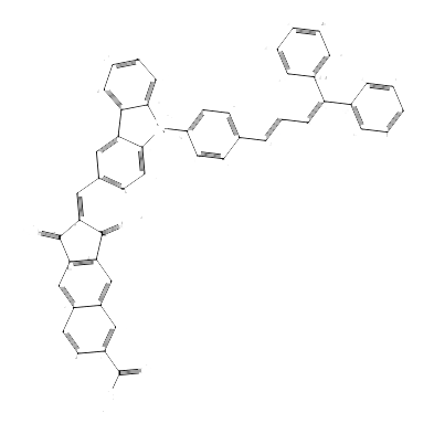 O=C(O)c1ccc2cc3c(cc2c1)C(=O)/C(=C\c1ccc2c(c1)c1ccccc1n2-c1ccc(/C=C/C=C(c2ccccc2)c2ccccc2)cc1)C3=O